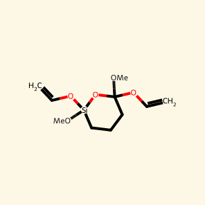 C=COC1(OC)CCC[Si](OC)(OC=C)O1